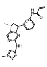 C=CC(=O)Nc1cccc(N2C[C@@H](C)c3cnc(Nc4cnn(C)c4)nc32)c1